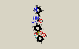 COc1cccc(F)c1S(=O)(=O)c1ccc(NC(=O)NCc2cccnc2)cc1